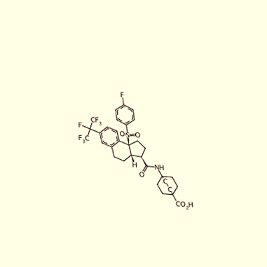 O=C(NC12CCC(C(=O)O)(CC1)CC2)[C@@H]1CC[C@@]2(S(=O)(=O)c3ccc(F)cc3)c3ccc(C(F)(C(F)(F)F)C(F)(F)F)cc3CC[C@@H]12